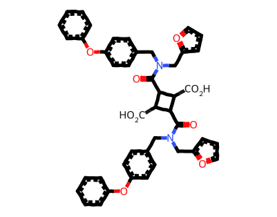 O=C(O)C1C(C(=O)N(Cc2ccc(Oc3ccccc3)cc2)Cc2ccco2)C(C(=O)O)C1C(=O)N(Cc1ccc(Oc2ccccc2)cc1)Cc1ccco1